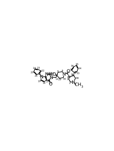 CN1CC[C@@H](C(=O)N2CCC(O)(Cn3cnc4c(ccn4-c4ccccc4)c3=O)CC2)[C@H](c2ccccc2)C1